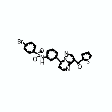 O=C(c1cccs1)c1cnn2c(-c3cccc(NS(=O)(=O)c4ccc(Br)cc4)c3)ccnc12